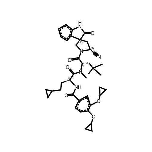 CN(C(=O)[C@H](CCC1CC1)NC(=O)c1ccc(OC2CC2)c(OC2CC2)c1)[C@@H](CC(C)(C)C)C(=O)N1C[C@]2(C[C@H]1C#N)C(=O)Nc1ccccc12